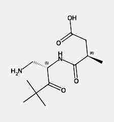 C[C@H](CC(=O)O)C(=O)N[C@@H](CN)C(=O)C(C)(C)C